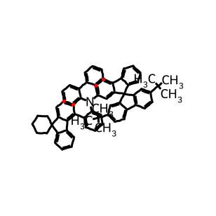 CC(C)(C)c1ccc2c(c1)C1(c3ccccc3-c3ccc(N(c4ccccc4-c4ccccc4)c4ccccc4-c4cccc5c4-c4ccccc4C54CCCCC4)cc31)c1cc(C(C)(C)C)ccc1-2